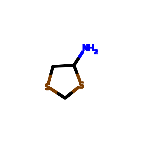 NC1CSCS1